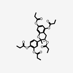 CCC(=O)Oc1cc(OC(=O)CC)c2c(c1)OC(C)(c1ccc(OC(=O)CC)c(OC(=O)CC)c1)[C@H](OC(=O)CC)C2